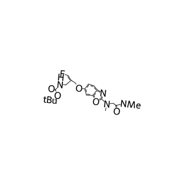 CNC(=O)CN(C)c1nc2ccc(OCC(=CF)CNC(=O)OC(C)(C)C)cc2o1